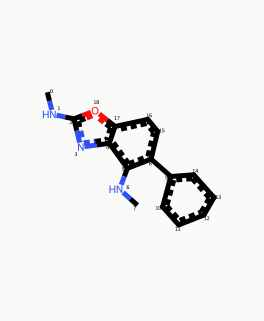 CNc1nc2c(NC)c(-c3ccccc3)ccc2o1